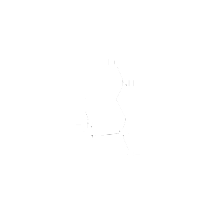 CCNCCN(O)O.NO